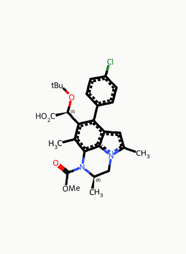 COC(=O)N1c2c(C)c([C@H](OC(C)(C)C)C(=O)O)c(-c3ccc(Cl)cc3)c3cc(C)n(c23)C[C@H]1C